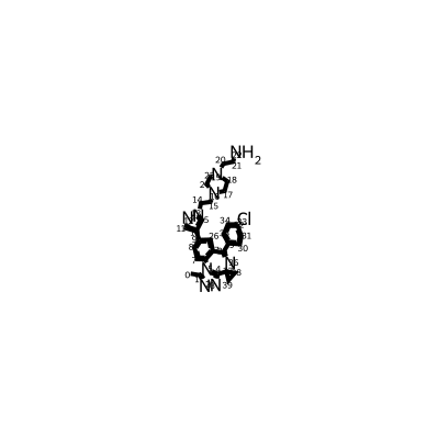 Cc1nnc2n1-c1ccc(-c3cnn(CCN4CCN(CCN)CC4)c3)cc1C(c1ccc(Cl)cc1)=NC21CC1